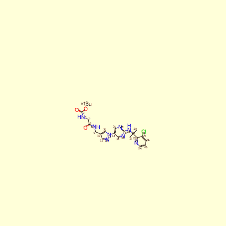 CC(C)(C)OC(=O)NCC(=O)NCc1cnn(-c2cnc(NC(C)(C)c3ncccc3Cl)nc2)c1